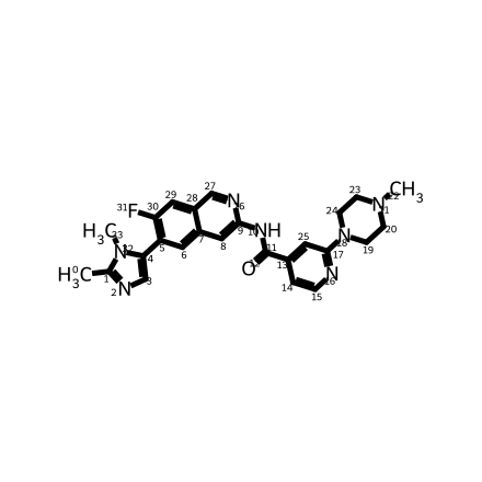 Cc1ncc(-c2cc3cc(NC(=O)c4ccnc(N5CCN(C)CC5)c4)ncc3cc2F)n1C